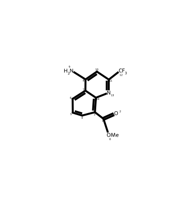 COC(=O)c1cccc2c(N)cc(C(F)(F)F)nc12